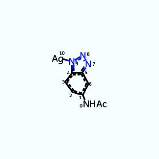 CC(=O)Nc1ccc2c(c1)nn[n]2[Ag]